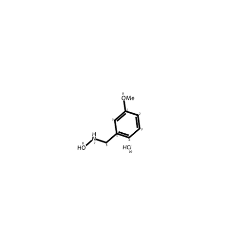 COc1cccc(CNO)c1.Cl